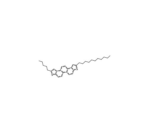 CCCCCCCCCCCc1cc2c(ccc3c2ccc2c4cc(CCCCC)sc4ccc23)s1